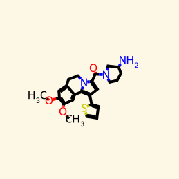 COc1cc2c(cc1OC)-c1c(-c3cccs3)cc(C(=O)N3CCCC(N)C3)n1CC2